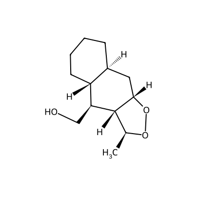 C[C@@H]1OO[C@H]2C[C@@H]3CCCC[C@H]3[C@H](CO)[C@@H]12